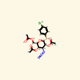 CC(=O)OC[C@H]1O[C@H](Sc2ccc(Br)cc2)[C@H](OC(C)=O)[C@@H](N=[N+]=[N-])[C@H]1OC(C)=O